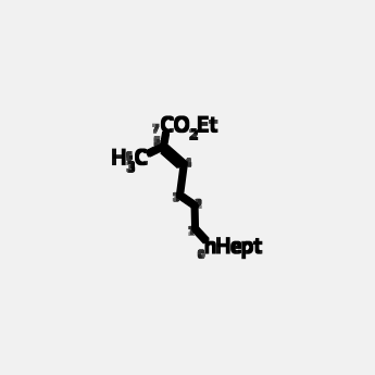 CCCCCCCCCCC=C(C)C(=O)OCC